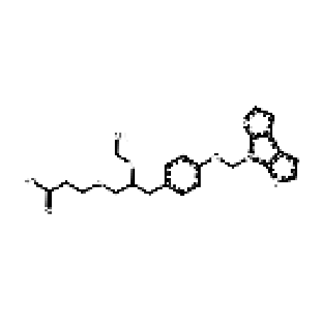 CCOC(COCCC(=O)O)Cc1ccc(OCn2c3sccc3c3ccsc32)cc1